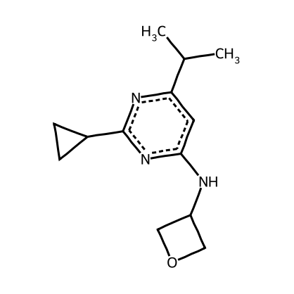 CC(C)c1cc(NC2COC2)nc(C2CC2)n1